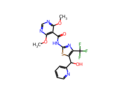 COc1ncnc(OC)c1C(=O)Nc1nc(C(F)(F)F)c(C(O)c2ccccn2)s1